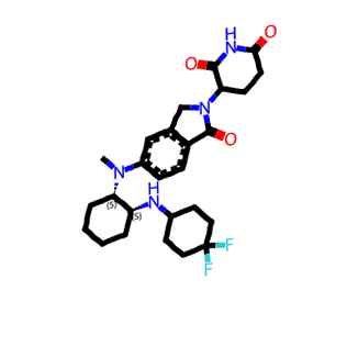 CN(c1ccc2c(c1)CN(C1CCC(=O)NC1=O)C2=O)[C@H]1CCCC[C@@H]1NC1CCC(F)(F)CC1